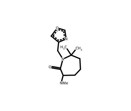 CNC1CCCC(C)(C)N(Cc2cocn2)C1=O